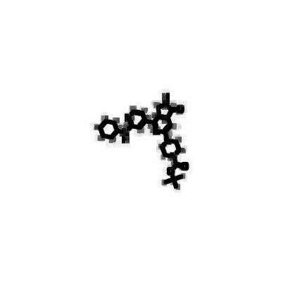 CC(C)(C)OC(=O)N1CCN(c2cc3c(c(-c4ccnc(NC5CCCCC5)c4)n2)CNC3=O)CC1